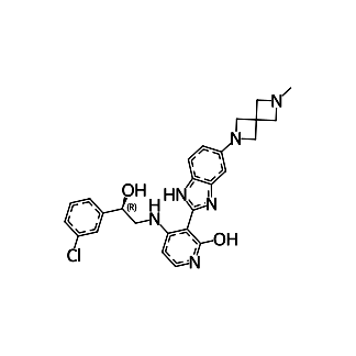 CN1CC2(C1)CN(c1ccc3[nH]c(-c4c(NC[C@H](O)c5cccc(Cl)c5)ccnc4O)nc3c1)C2